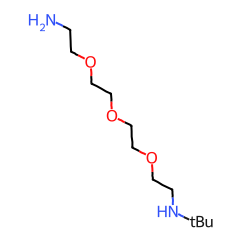 CC(C)(C)NCCOCCOCCOCCN